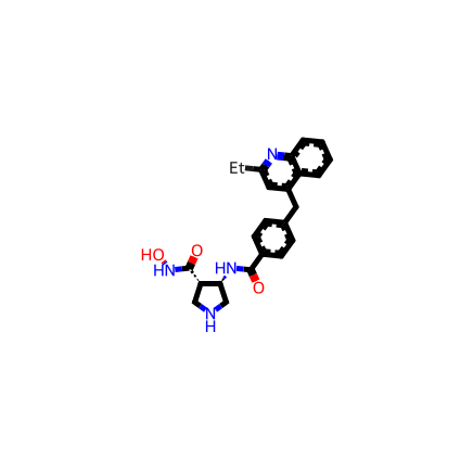 CCc1cc(Cc2ccc(C(=O)N[C@@H]3CNC[C@@H]3C(=O)NO)cc2)c2ccccc2n1